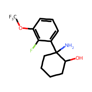 NC1(c2cccc(OC(F)(F)F)c2F)CCCCC1O